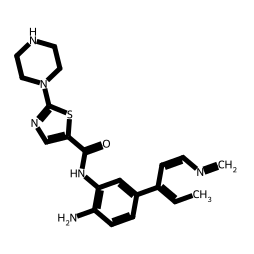 C=N/C=C\C(=C/C)c1ccc(N)c(NC(=O)c2cnc(N3CCNCC3)s2)c1